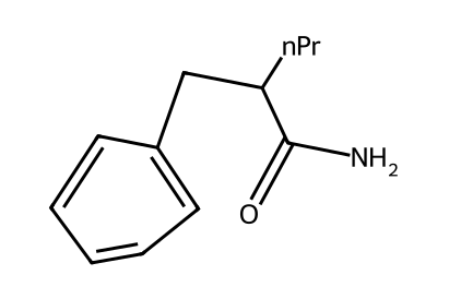 CCCC(Cc1ccccc1)C(N)=O